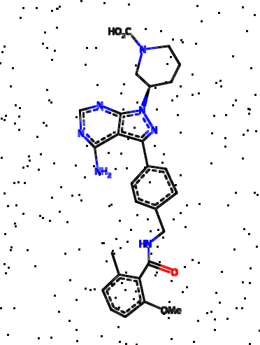 COc1cccc(C)c1C(=O)NCc1ccc(-c2nn([C@@H]3CCCN(C(=O)O)C3)c3ncnc(N)c23)cc1